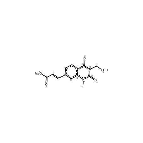 COC(=O)/C=C/c1ccc2c(=O)n(CC=O)c(=O)n(C)c2c1